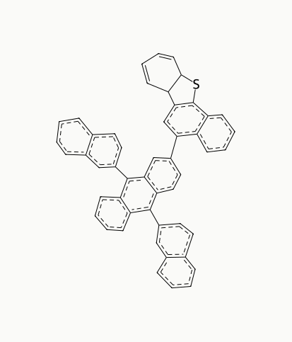 C1=CC2Sc3c(cc(-c4ccc5c(-c6ccc7ccccc7c6)c6ccccc6c(-c6ccc7ccccc7c6)c5c4)c4ccccc34)C2C=C1